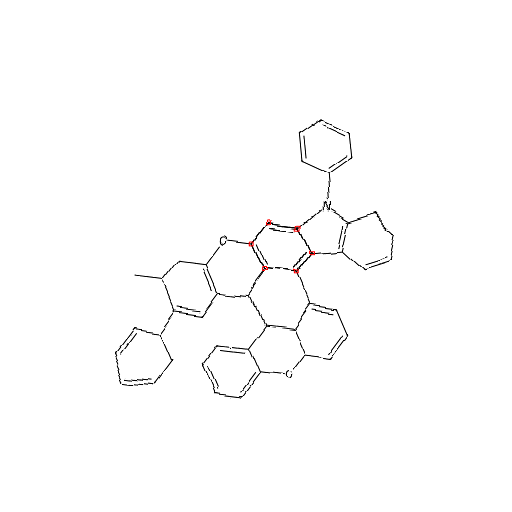 CC1CC2=C(C=C1C1C=CC=CC1)C(C1c3ccccc3OC3C=CC=C(c4cccc5c4c4c(n5-c5ccccc5)CCC=C4)C31)C1C=CC=CC1O2